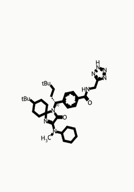 CN(C1=NC2(CCC(C(C)(C)C)CC2)N([C@H](CCC(C)(C)C)c2ccc(C(=O)NCc3nn[nH]n3)cc2)C1=O)C1CCCCC1